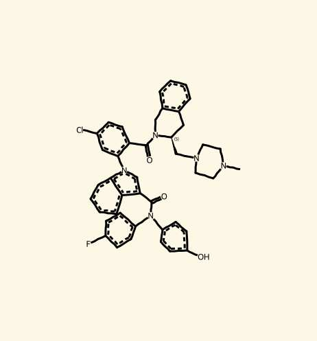 CN1CCN(C[C@@H]2Cc3ccccc3CN2C(=O)c2ccc(Cl)cc2-n2cc(C(=O)N(c3ccc(O)cc3)c3ccc(F)cc3)c3ccccc32)CC1